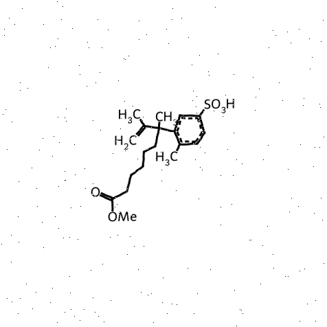 C=C(C)C(C)(CCCCCC(=O)OC)c1cc(S(=O)(=O)O)ccc1C